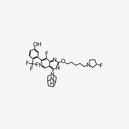 Oc1ccc(C(F)(F)F)c(-c2ncc3c(N4CC5CCC(C4)N5)nc(OCCCCCN4CC[C@@H](F)C4)nc3c2F)c1